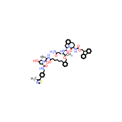 Cc1ncsc1-c1ccc(CNC(=O)[C@@H]2C[C@@H](O)CN2C(=O)[C@@H](NC(=O)CCCCCc2ccccc2CO[C@H](C)[C@H](CCC(N)=O)NC(=O)[C@@H]2Cc3cccc4c3N2C(=O)[C@@H](NC(=O)OCC2c3ccccc3-c3ccccc32)CC4)C(C)(C)C)cc1